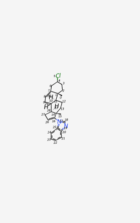 C[C@]12CC[C@H](Cl)CC1=CC[C@@H]1[C@@H]2CC[C@]2(C)C(n3cnc4ccccc43)=CC[C@@H]12